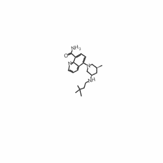 C[C@H]1C[C@@H](NCCC(C)(C)C)CN(c2ccc(C(N)=O)c3ncccc23)C1